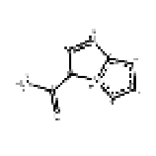 NC(=O)C1C=Nc2cccn21